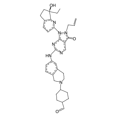 C=CCn1c(=O)c2cnc(Nc3ccc4c(c3)CCN(C3CCC(C=O)CC3)C4)nc2n1-c1ccc2c(n1)[C@@](O)(CC)CC2